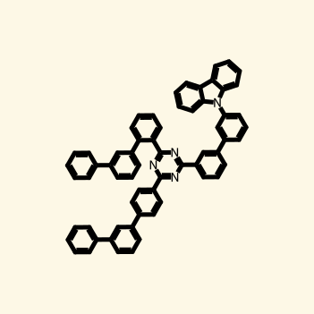 c1ccc(-c2cccc(-c3ccc(-c4nc(-c5cccc(-c6cccc(-n7c8ccccc8c8ccccc87)c6)c5)nc(-c5ccccc5-c5cccc(-c6ccccc6)c5)n4)cc3)c2)cc1